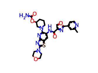 Cc1cc(-c2nc(C(=O)Nc3cc4sc(N5CCOCC5)nc4nc3N3CCCC(OC(N)=O)C3)co2)ccn1